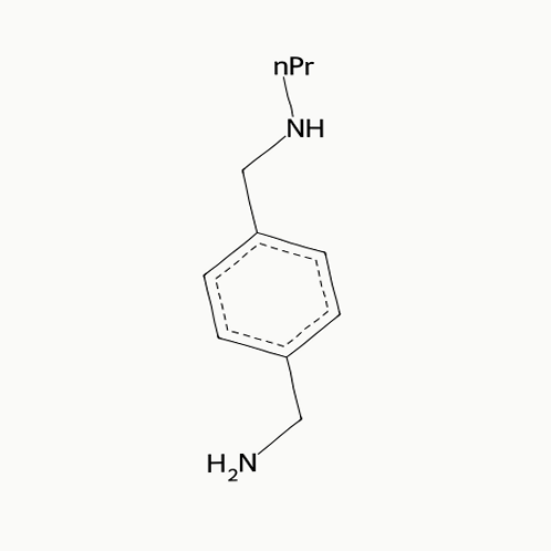 CCCNCc1ccc(CN)cc1